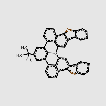 CC(C)(C)c1cc2c3c(c1)-c1cccc4c1c(cc1c5ccccc5sc41)B3c1cc3c4ccccc4sc3c3cccc-2c13